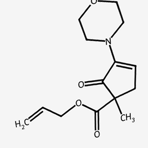 C=CCOC(=O)C1(C)CC=C(N2CCOCC2)C1=O